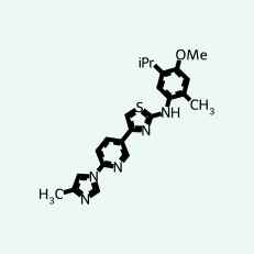 COc1cc(C)c(Nc2nc(-c3ccc(-n4cnc(C)c4)nc3)cs2)cc1C(C)C